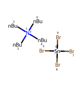 CCCC[N+](CCCC)(CCCC)CCCC.[Br][Sn]([Br])([Br])[Br]